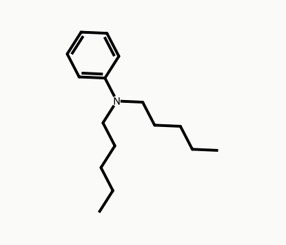 CCCCCN(CCCCC)c1ccccc1